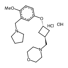 COc1ccc(O[C@H]2C[C@H](CN3CCOCC3)C2)cc1CN1CCCC1.Cl.Cl